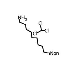 CCCCCCCCCCCCCCCCCCN.ClC(Cl)Cl